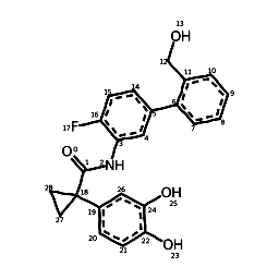 O=C(Nc1cc(-c2ccccc2CO)ccc1F)C1(c2ccc(O)c(O)c2)CC1